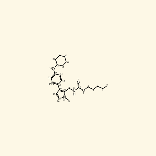 CCCCCOC(=O)NCc1c(-c2ccc(OC3CCCCC3)cn2)cnn1C